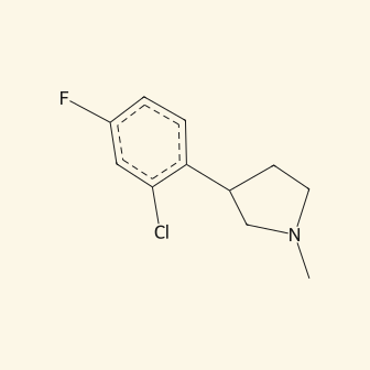 CN1CCC(c2ccc(F)cc2Cl)C1